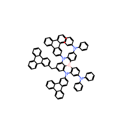 c1ccc(N(c2ccccc2)c2ccc3c(c2)N(c2ccc4c5ccccc5c5ccccc5c4c2)c2cc(Cc4ccc5c6ccccc6c6ccccc6c5c4)cc4c2B3c2ccc(N(c3ccccc3)c3ccccc3)cc2N4c2ccc3c4ccccc4c4ccccc4c3c2)cc1